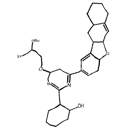 CCCCC(CC)COC1CC(C2=CCC3OC4C=C5CCCCC5CC4C3=C2)=NC(C2CCCCC2O)=N1